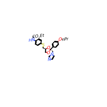 CCCOc1ccc([C@@]2(Cn3ccnc3)OC[C@@H](CSc3ccc(NC(=O)OCC)cc3)O2)cc1